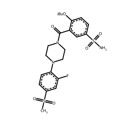 CC(C)COc1ccc(S(N)(=O)=O)cc1C(=O)N1CCN(c2ccc(S(C)(=O)=O)cc2F)CC1